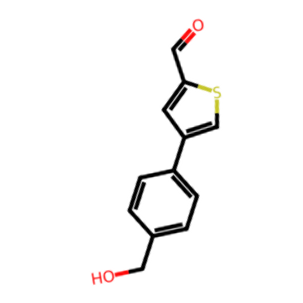 O=Cc1cc(-c2ccc(CO)cc2)cs1